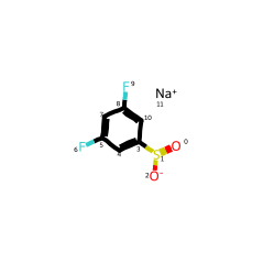 O=S([O-])c1cc(F)cc(F)c1.[Na+]